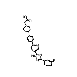 O=C(O)C[C@H]1CC[C@H](c2ccc(-c3ccc(-c4nc(-c5cccc(F)c5)n[nH]4)cn3)cc2)CC1